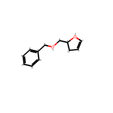 C1=COC(COCc2ccccc2)C1